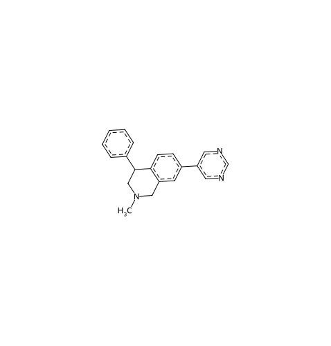 CN1Cc2cc(-c3cncnc3)ccc2C(c2ccccc2)C1